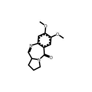 COc1cc2c(cc1OC)C(=O)N1CCCC1C=N2